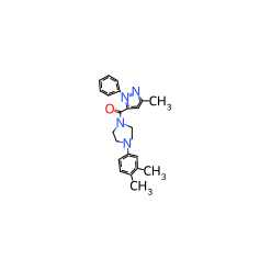 Cc1cc(C(=O)N2CCN(c3ccc(C)c(C)c3)CC2)n(-c2ccccc2)n1